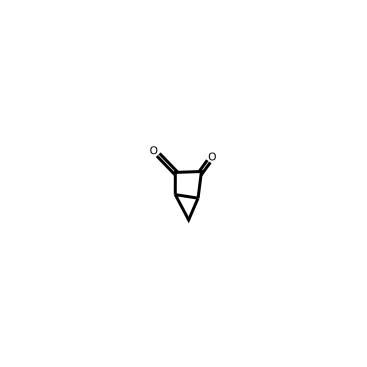 O=C1C(=O)C2CC12